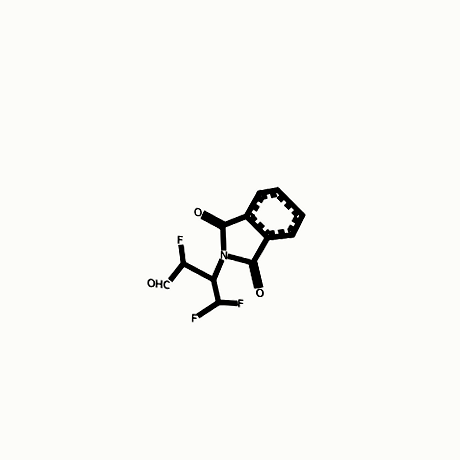 O=CC(F)C(C(F)F)N1C(=O)c2ccccc2C1=O